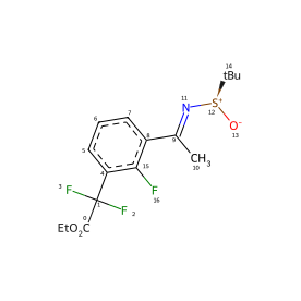 CCOC(=O)C(F)(F)c1cccc(C(C)=N[S@+]([O-])C(C)(C)C)c1F